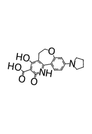 O=C(O)c1c(O)c2c([nH]c1=O)-c1ccc(N3CCCC3)cc1OCC2